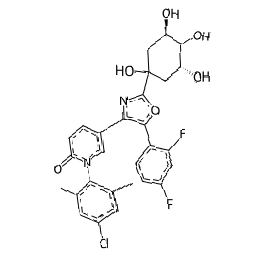 Cc1cc(Cl)cc(C)c1-n1cc(-c2nc(C3(O)C[C@@H](O)C(O)[C@H](O)C3)oc2-c2ccc(F)cc2F)ccc1=O